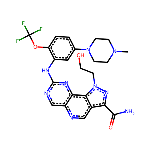 CN1CCN(c2ccc(OC(F)(F)F)c(Nc3ncc4ncc5c(C(N)=O)nn(CCO)c5c4n3)c2)CC1